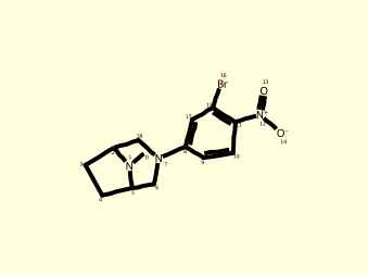 CN1C2CCC1CN(c1ccc([N+](=O)[O-])c(Br)c1)C2